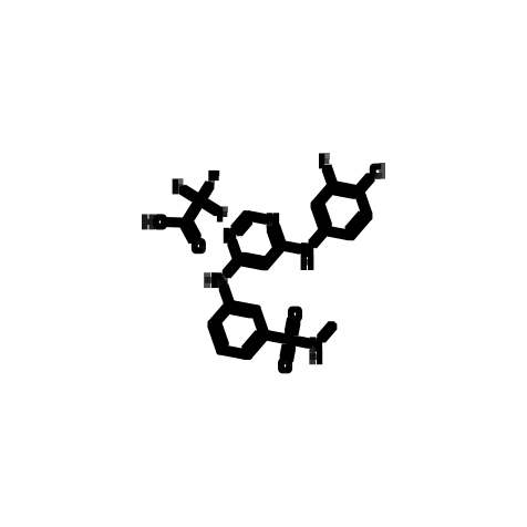 CNS(=O)(=O)c1cccc(Nc2cc(Nc3ccc(Cl)c(F)c3)ncn2)c1.O=C(O)C(F)(F)F